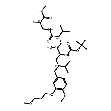 CNC(=O)[C@H](C)CNC(=O)[C@@H](C[C@H](O)[C@H](C[C@H](Cc1ccc(OC)c(OCCCOC)c1)C(C)C)NC(=O)OC(C)(C)C)C(C)C